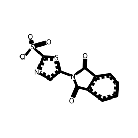 O=C1c2ccccc2C(=O)N1c1cnc(S(=O)(=O)Cl)s1